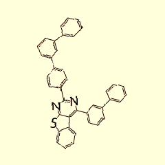 c1ccc(-c2cccc(-c3ccc(-c4nc(-c5cccc(-c6ccccc6)c5)c5c(n4)sc4ccccc45)cc3)c2)cc1